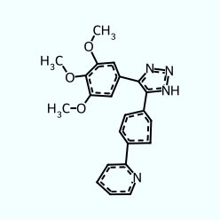 COc1cc(-c2nn[nH]c2-c2ccc(-c3ccccn3)cc2)cc(OC)c1OC